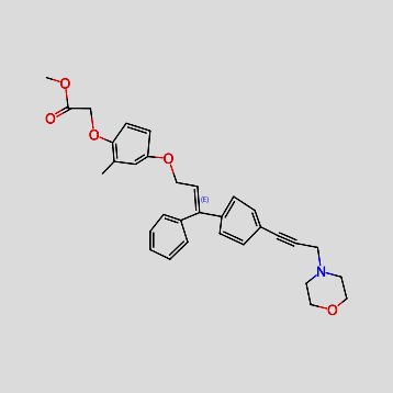 COC(=O)COc1ccc(OC/C=C(\c2ccccc2)c2ccc(C#CCN3CCOCC3)cc2)cc1C